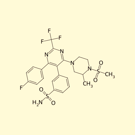 CC1CN(c2nc(C(F)(F)F)nc(-c3ccc(F)cc3)c2-c2cccc(S(N)(=O)=O)c2)CCN1S(C)(=O)=O